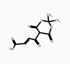 CC1(C)OC(=O)C(C(=O)C=CC(=O)O)C(=O)O1